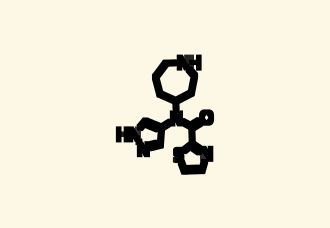 O=C(c1nccs1)N(c1cn[nH]c1)C1CCCNCC1